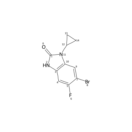 O=c1[nH]c2cc(F)c(Br)cc2n1C1CC1